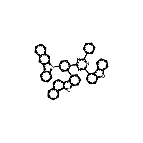 c1ccc(-c2nc(-c3ccc(-n4c5ccccc5c5cc6ccccc6cc54)cc3-c3cccc4oc5c6ccccc6ccc5c34)nc(-c3cccc4oc5ccccc5c34)n2)cc1